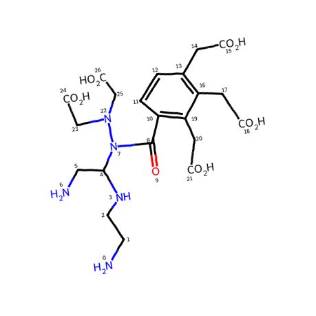 NCCNC(CN)N(C(=O)c1ccc(CC(=O)O)c(CC(=O)O)c1CC(=O)O)N(CC(=O)O)CC(=O)O